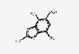 Cc1c(C(=O)O)cc(C)c2oc(N)nc12